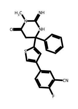 CN1C(=N)NC(c2ccccc2)(c2cc(-c3ccc(F)c(C#N)c3)cs2)CC1=O